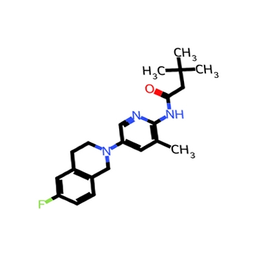 Cc1cc(N2CCc3cc(F)ccc3C2)cnc1NC(=O)CC(C)(C)C